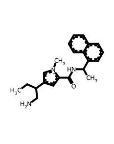 CCC(CN)c1cc(C(=O)NC(C)c2cccc3ccccc23)n(C)c1